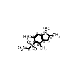 CC(=O)N1c2cc(C)c(S(=O)(=O)C[N+](=O)[O-])c(C)c2CC1C